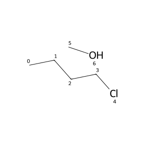 CCCCCl.CO